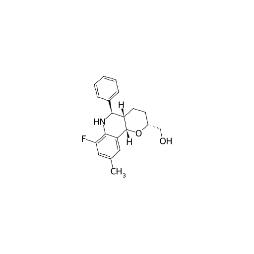 Cc1cc(F)c2c(c1)[C@H]1O[C@@H](CO)CC[C@H]1[C@H](c1ccccc1)N2